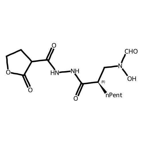 CCCCC[C@H](CN(O)C=O)C(=O)NNC(=O)C1CCOC1=O